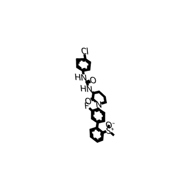 C[S+]([O-])c1ccccc1-c1ccc(N2CCCC(NC(=O)Nc3ccc(Cl)cc3)C2=O)c(F)c1